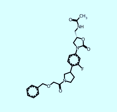 CC(=O)NC[C@H]1CN(c2ccc(C3CCN(C(=O)COCc4ccccc4)C3)c(F)c2)C(=O)O1